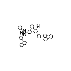 N#Cc1cc(-c2cccc(-c3ccc4c5c(cccc35)-c3ccccc3-4)c2)ccc1-c1ccccc1-c1cccc(-c2nc(-c3ccccc3)nc(-c3cccc(-c4cccc5ccccc45)c3)n2)c1